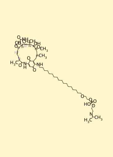 CO[C@H]1/C=C\C=C(/C)C(=O)NC2=CC(=O)C(NCCCCCCCCCCCCCCCCCCOCCOP(=O)(O)OCCN=C(C)C)=C(C[C@@H](C)C[C@H](OC)[C@H](O)[C@@H](C)/C=C(\C)[C@@H]1OC(N)=O)C2=O